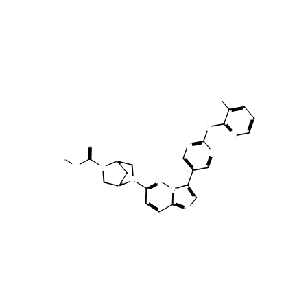 CC(C)(C)OC(=O)N1CC2CC1CN2c1ccc2ncc(-c3cnc(Nc4ncccc4F)nc3)n2n1